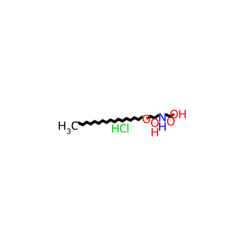 CCCCCCCCCCCCCCCCCCOCC(O)CNCC(=O)O.Cl